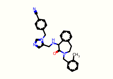 Cc1ccccc1CN1CCc2ccccc2C(NCc2cncn2Cc2ccc(C#N)cc2)C1=O